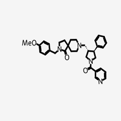 COc1ccc(CN2CCC3(CCN(C[C@H]4CN(C(=O)c5cccnc5)C[C@@H]4c4ccccc4)CC3)C2=O)cc1